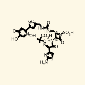 CC(C)(ON=C(C(=O)N[C@@H]1C(=O)N(S(=O)(=O)O)[C@H]1CNC(=O)NCc1cc(-c2cc(=O)c(O)cn2O)no1)c1csc(N)n1)C(=O)O